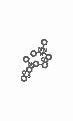 c1ccc(-c2nc(-c3ccccc3)nc(-c3cccc4c3oc3c(-c5ccc6c(c5)c5cc7c(cc5n6-c5ccccc5)Oc5ccccc5S7)cccc34)n2)cc1